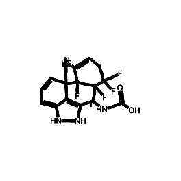 N#CC1(C2(F)C(S)=CCC(F)(F)C2(F)F)C=CC=C2NNC(CNC(=O)O)=C21